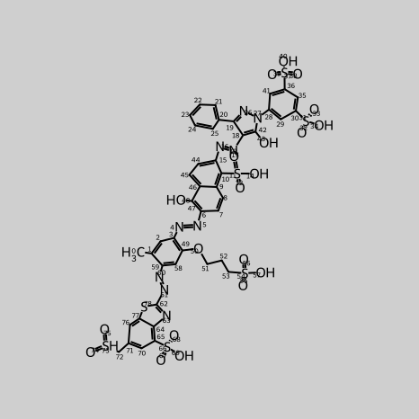 Cc1cc(N=Nc2ccc3c(S(=O)(=O)O)c(N=Nc4c(-c5ccccc5)nn(-c5cc(S(=O)(=O)O)cc(S(=O)(=O)O)c5)c4O)ccc3c2O)c(OCCCS(=O)(=O)O)cc1N=Nc1nc2c(S(=O)(=O)O)cc(C[SH](=O)=O)cc2s1